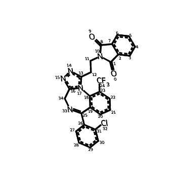 O=C1c2ccccc2C(=O)N1CCc1nnc2n1-c1c(cccc1C(F)(F)F)C(c1ccccc1Cl)=NC2